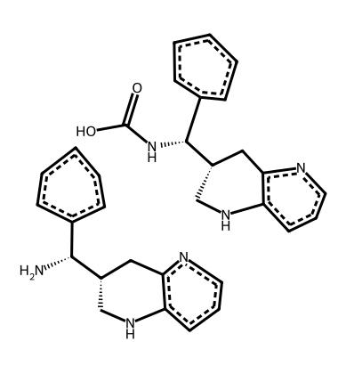 N[C@H](c1ccccc1)[C@H]1CNc2cccnc2C1.O=C(O)N[C@H](c1ccccc1)[C@H]1CNc2cccnc2C1